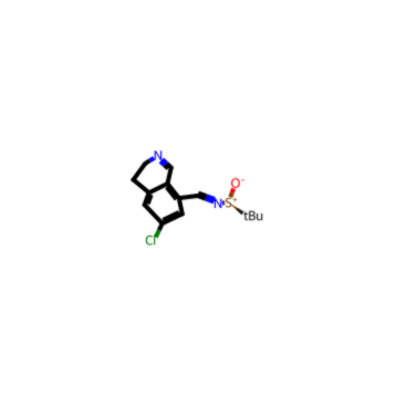 CC(C)(C)[S@+]([O-])N=Cc1cc(Cl)cc2c1C=NCC2